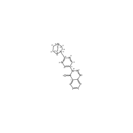 O=c1c2ccccc2nnn1-c1cnc(N2CCN3CCC2CC3)nc1